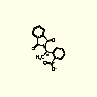 C[C@H](c1ccccc1[N+](=O)[O-])N1C(=O)c2ccccc2C1=O